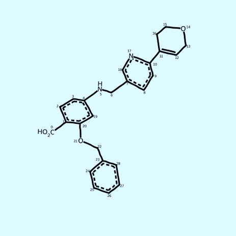 O=C(O)c1ccc(NCc2ccc(C3=CCOCC3)nc2)cc1OCc1ccccc1